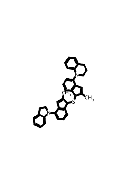 CC1=Cc2c(cccc2N2CCCc3ccccc32)C1SC1C(C)=Cc2c1cccc2N1CCc2ccccc21